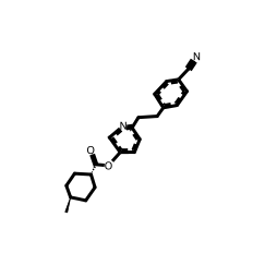 C[C@H]1CC[C@H](C(=O)Oc2ccc(CCc3ccc(C#N)cc3)nc2)CC1